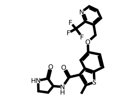 Cc1sc2ccc(OCc3cccnc3C(F)(F)F)cc2c1C(=O)NC1CCNC1=O